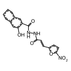 O=C(C=Cc1ccc([N+](=O)[O-])o1)NNC(=O)c1cc2ccccc2cc1O